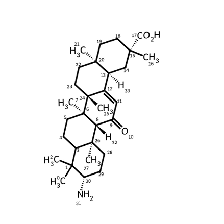 CC1(C)C2CC[C@]3(C)[C@H](C(=O)C=C4[C@@H]5C[C@@](C)(C(=O)O)CC[C@]5(C)CC[C@]43C)[C@@]2(C)CC[C@@H]1N